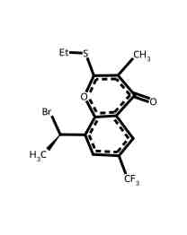 CCSc1oc2c([C@@H](C)Br)cc(C(F)(F)F)cc2c(=O)c1C